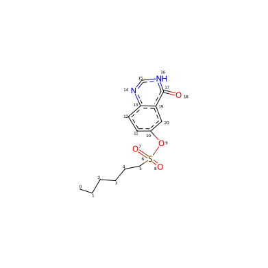 CCCCCCS(=O)(=O)Oc1ccc2nc[nH]c(=O)c2c1